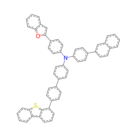 c1ccc2cc(-c3ccc(N(c4ccc(-c5ccc(-c6cccc7c6sc6ccccc67)cc5)cc4)c4ccc(-c5cc6ccccc6o5)cc4)cc3)ccc2c1